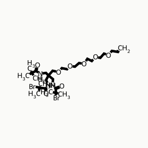 C=CCOCCOCCOCCOCCOCC(CNC(=O)C(C)(C)C)(CNC(=O)C(C)(C)Br)CNC(=O)C(C)(C)Br